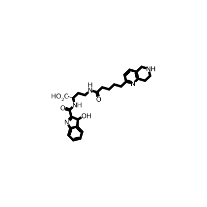 O=C(CCCCc1ccc2c(n1)CCNC2)NCC[C@H](NC(=O)C1=Nc2ccccc2C1O)C(=O)O